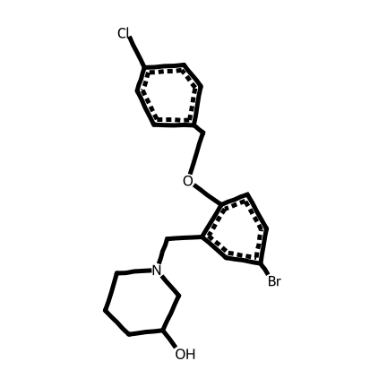 OC1CCCN(Cc2cc(Br)ccc2OCc2ccc(Cl)cc2)C1